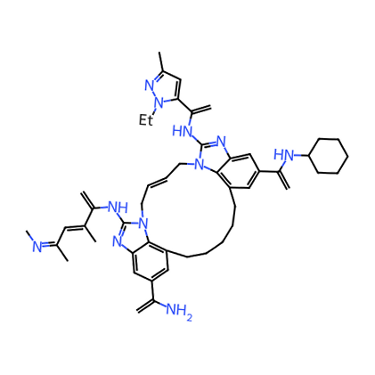 C=C(Nc1nc2cc(C(=C)N)cc3c2n1C/C=C/Cn1c(NC(=C)c2cc(C)nn2CC)nc2cc(C(=C)NC4CCCCC4)cc(c21)CCCCC3)/C(C)=C/C(C)=N\C